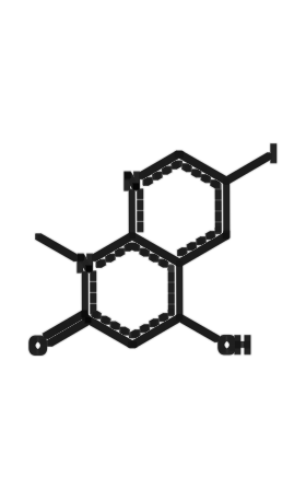 Cn1c(=O)cc(O)c2cc(I)cnc21